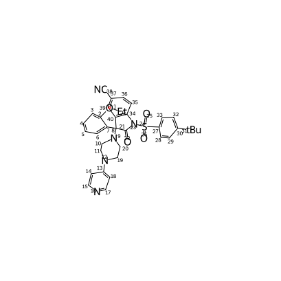 CCOc1ccccc1C1(N2CCN(c3ccncc3)CC2)C(=O)N(S(=O)(=O)c2ccc(C(C)(C)C)cc2)c2ccc(C#N)cc21